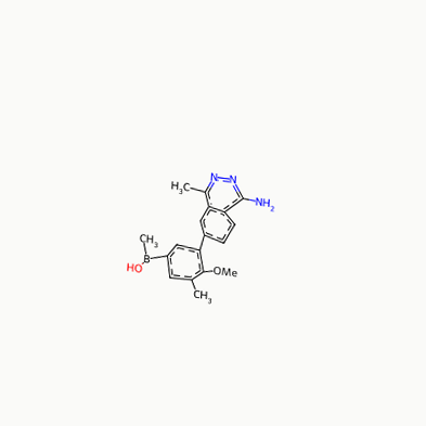 COc1c(C)cc(B(C)O)cc1-c1ccc2c(N)nnc(C)c2c1